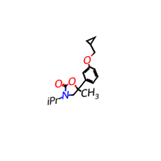 CC(C)N1CC(C)(c2cccc(OCC3CC3)c2)OC1=O